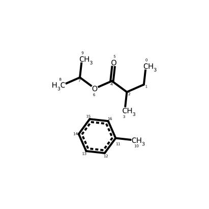 CCC(C)C(=O)OC(C)C.Cc1ccccc1